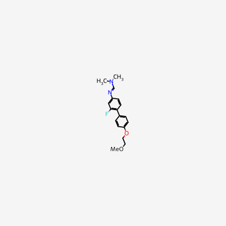 COCCOc1ccc(-c2ccc(N=CN(C)C)cc2F)cc1